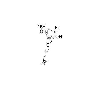 CBON1C[C@H](CC)[C@H](O)[C@@H](COCOCC[Si](C)(C)C)C1